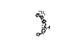 C[C@H]1CCCN1[C@H]1CCN(c2ccc(CC(=O)NC3CCN(CC4CCCC4)CC3)cc2)C1